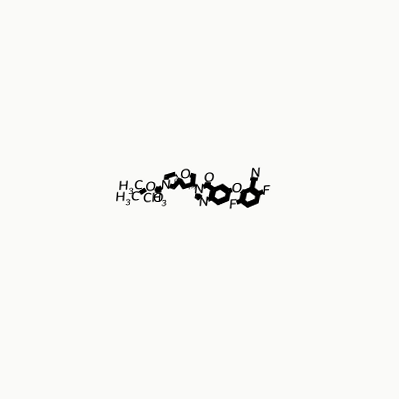 CC(C)(C)OC(=O)N1CC[C@]2(C[C@H](n3cnc4ccc(Oc5c(F)ccc(F)c5C#N)cc4c3=O)CO2)C1